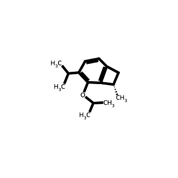 CC(C)Oc1c(C(C)C)ccc2c1[C@@H](C)C2